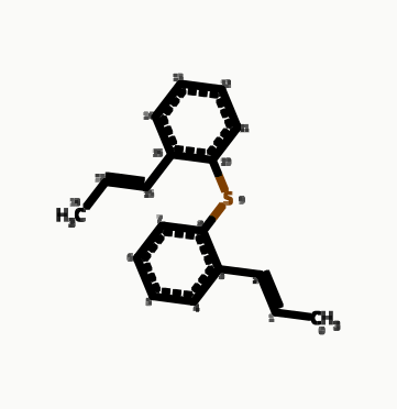 CC=Cc1ccccc1Sc1ccccc1C=CC